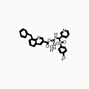 COc1ccc(S(=O)(=O)C(NN(NO)OC(=O)c2cnc3c(Cc4ccccc4)cccc3c2)c2cccnc2)cc1